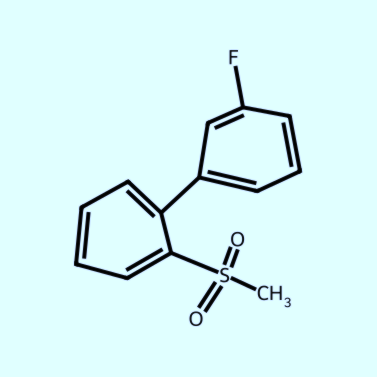 CS(=O)(=O)c1ccccc1-c1cccc(F)c1